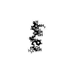 CC(C)(CO)C(=O)SCCOP(=O)(NCc1ccccc1)OC[C@H]1O[C@@H](N2C=NC3C(=O)NC(N)=NC32)[C@](C)(O)[C@@H]1O